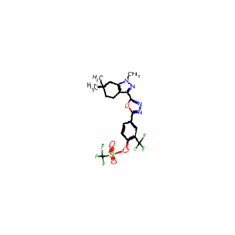 Cn1nc(-c2nnc(-c3ccc(OS(=O)(=O)C(F)(F)F)c(C(F)(F)F)c3)o2)c2c1CC(C)(C)CC2